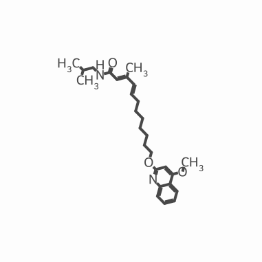 COc1cc(OCCCCCCCC=CC(C)=CC(=O)NCC(C)C)nc2ccccc12